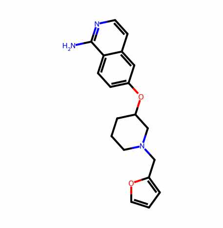 Nc1nccc2cc(OC3CCCN(Cc4ccco4)C3)ccc12